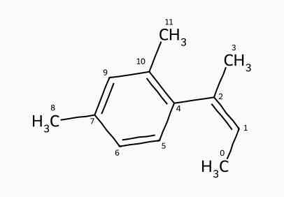 C/C=C(/C)c1ccc(C)cc1C